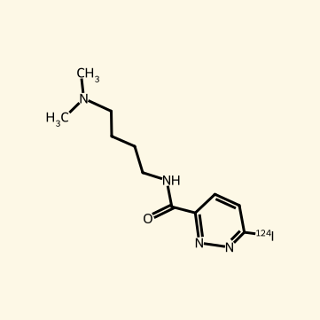 CN(C)CCCCNC(=O)c1ccc([124I])nn1